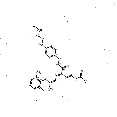 C=C(C)N/C=C/C(=C\C=C(\C)Cc1c(C)cccc1Cl)C(=O)NCc1ccc(OCOPO)cc1